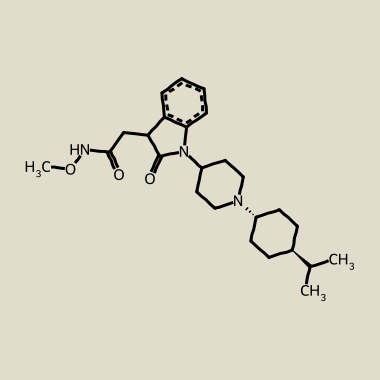 CONC(=O)CC1C(=O)N(C2CCN([C@H]3CC[C@H](C(C)C)CC3)CC2)c2ccccc21